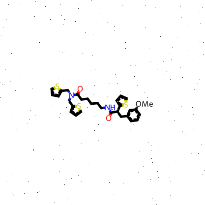 COc1cccc(CC(C(=O)NCCCCCC(=O)N(Cc2cccs2)Cc2cccs2)c2cccs2)c1